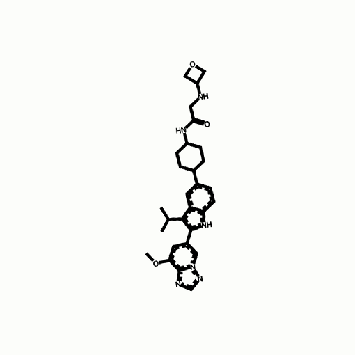 COc1cc(-c2[nH]c3ccc(C4CCC(NC(=O)CNC5COC5)CC4)cc3c2C(C)C)cn2ncnc12